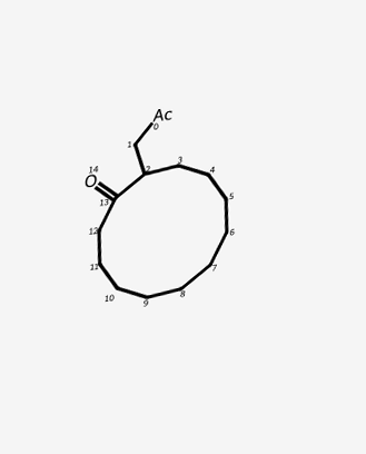 CC(=O)CC1CCCCCCCCCCC1=O